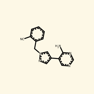 N#Cc1ccccc1Cn1cc(-c2cncnc2N)cn1